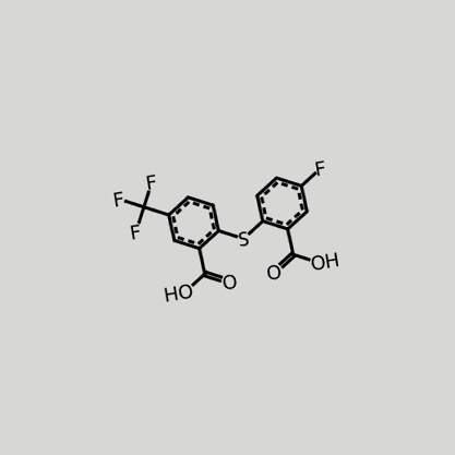 O=C(O)c1cc(F)ccc1Sc1ccc(C(F)(F)F)cc1C(=O)O